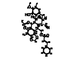 COc1c(C)cc2c(c1O)[C@H]1C3Cc4c(OC(C)=O)c(C)c5c(c4[C@H](COC(=O)/C=C/c4ccccc4)N3[C@@H](C#N)[C@H](C2)N1C)OCO5